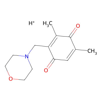 CC1=CC(=O)C(CN2CCOCC2)=C(C)C1=O.[H+]